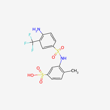 Cc1ccc(S(=O)(=O)O)cc1NS(=O)(=O)c1ccc(N)c(C(F)(F)F)c1